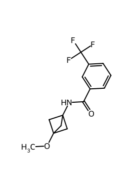 COC12CC(NC(=O)c3cccc(C(F)(F)F)c3)(C1)C2